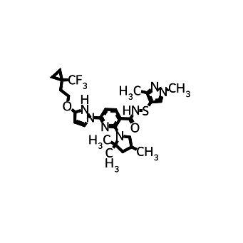 Cc1nn(C)cc1SNC(=O)c1ccc(N2C=CC(OCCC3(C(F)(F)F)CC3)N2)nc1N1CC(C)CC1(C)C